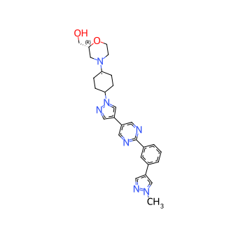 Cn1cc(-c2cccc(-c3ncc(-c4cnn(C5CC[C](N6CCO[C@@H](CO)C6)CC5)c4)cn3)c2)cn1